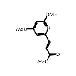 COC(=O)C=Cc1cc(OC)cc(OC)n1